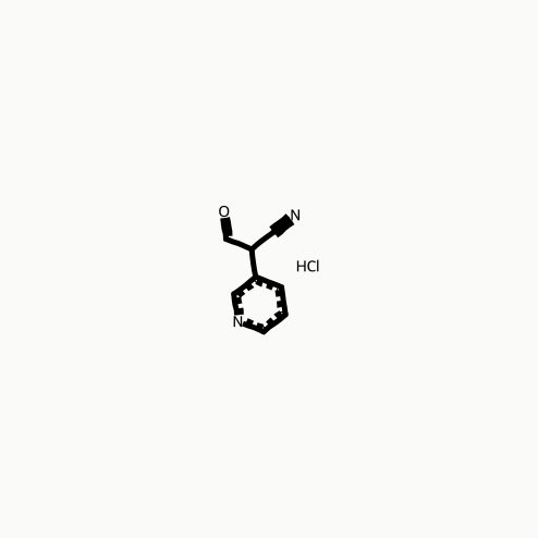 Cl.N#CC(C=O)c1cccnc1